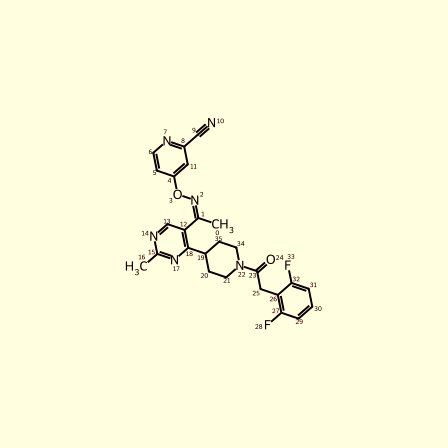 CC(=NOc1ccnc(C#N)c1)c1cnc(C)nc1C1CCN(C(=O)Cc2c(F)cccc2F)CC1